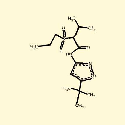 CCCS(=O)(=O)C(C(=O)Nc1cc(C(C)(C)C)on1)C(C)C